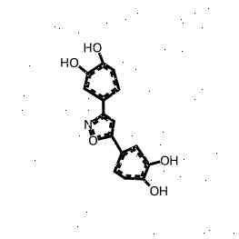 Oc1ccc(-c2cc(-c3ccc(O)c(O)c3)on2)cc1O